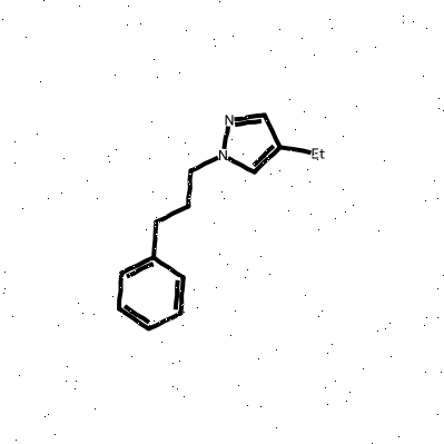 CCc1cnn(CCCc2ccccc2)c1